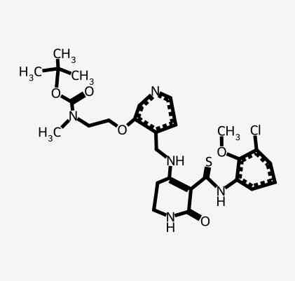 COc1c(Cl)cccc1NC(=S)C1=C(NCc2ccncc2OCCN(C)C(=O)OC(C)(C)C)CCNC1=O